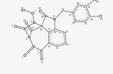 CCON1C(=O)N2C(=O)C(=O)c3cccc4c3C1(C2=O)C(=O)N4Cc1ccc(Cl)c(Cl)c1